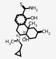 C=C1CC[C@@]2(O)[C@H](N(C)CC3CC3)Cc3ccc(C(N)=S)c(O)c3C2(C)C1